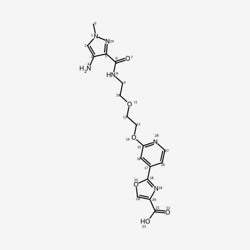 Cn1cc(N)c(C(=O)NCCOCCOc2cc(-c3nc(C(=O)O)co3)ccn2)n1